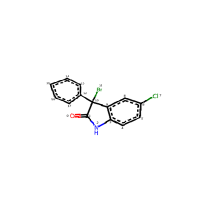 O=C1Nc2ccc(Cl)cc2C1(Br)c1ccccc1